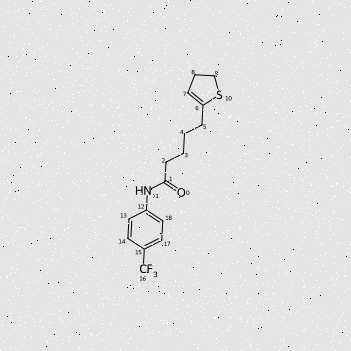 O=C(CCCCC1=CCCS1)Nc1ccc(C(F)(F)F)cc1